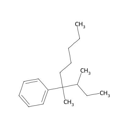 CCCCCC(C)(c1ccccc1)C(C)CC